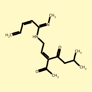 C=C/C=C\C(=N/C)NC/C=C(/C(C)=O)C(=O)CC(C)C